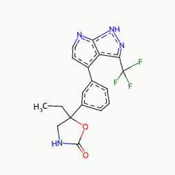 CCC1(c2cccc(-c3ccnc4[nH]nc(C(F)(F)F)c34)c2)CNC(=O)O1